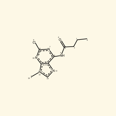 CCCC(=O)Nc1nc(Cl)nc2c1ncn2I